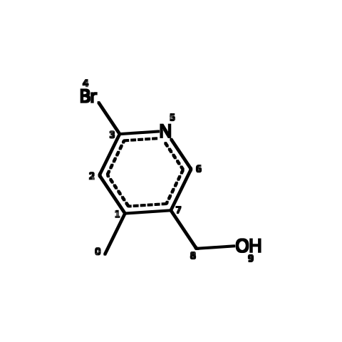 Cc1cc(Br)ncc1CO